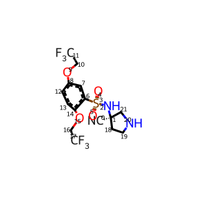 N#C[C@@]1(NS(=O)(=O)c2cc(OCC(F)(F)F)ccc2OCC(F)(F)F)CCNC1